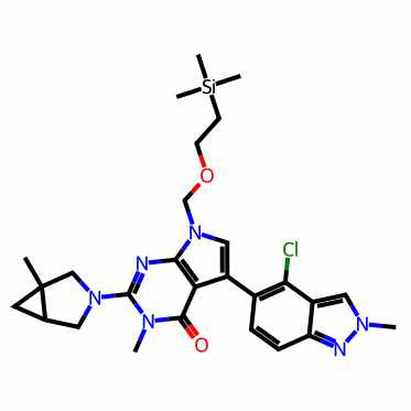 Cn1cc2c(Cl)c(-c3cn(COCC[Si](C)(C)C)c4nc(N5CC6CC6(C)C5)n(C)c(=O)c34)ccc2n1